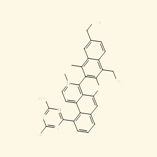 Cc1c2c(c(CC(C)(C)C)c3ccc(CC(C)(C)C)cc13)Oc1cc3cccc(-c4nc(C(C)(C)C)nc(C(C)(C)C)n4)c3c3cc[n+](C)c-2c13